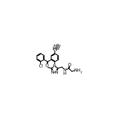 Br.Br.Cc1nnc(CNC(=O)CN)n1-c1ccc(Cl)cc1C(=O)c1ccccc1Cl